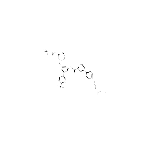 CC(C)OCCOc1ccc(-c2ccnc(C(=O)Nc3cc(CN4CCC(F)(F)[C@H](NC(=O)OC(C)(C)C)C4)cc(-c4ccc(C(F)(F)F)nc4)c3)c2)cc1